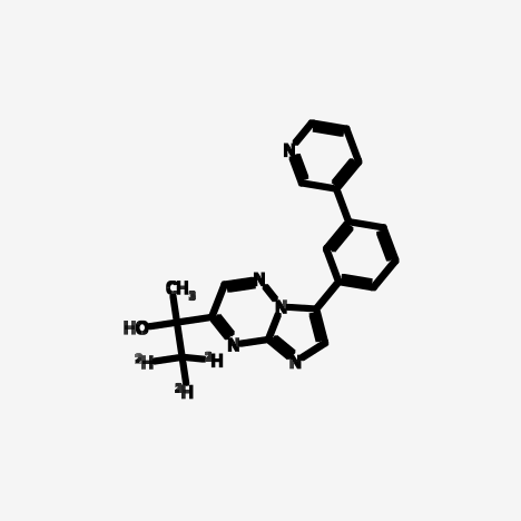 [2H]C([2H])([2H])C(C)(O)c1cnn2c(-c3cccc(-c4cccnc4)c3)cnc2n1